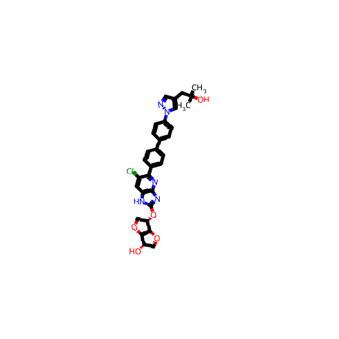 CC(C)(O)Cc1cnn(-c2ccc(-c3ccc(-c4nc5nc(O[C@@H]6COC7C6OC[C@H]7O)[nH]c5cc4Cl)cc3)cc2)c1